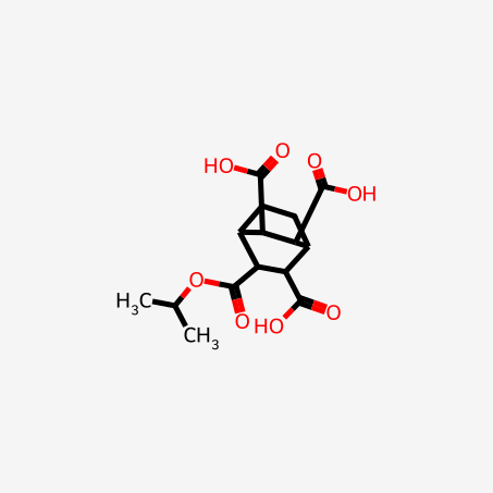 CC(C)OC(=O)C1C2CCC(C(C(=O)O)C2C(=O)O)C1C(=O)O